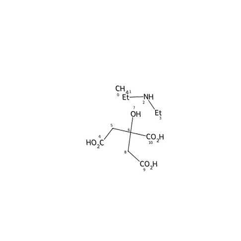 C.CCNCC.O=C(O)CC(O)(CC(=O)O)C(=O)O